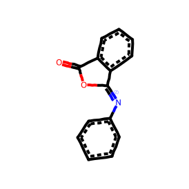 O=C1O/C(=N\c2ccccc2)c2ccccc21